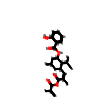 C=C(C)C(=O)OC(=O)/C(C)=C\C1CC(C)CC(OC(=O)c2ccccc2O)C1C(C)C